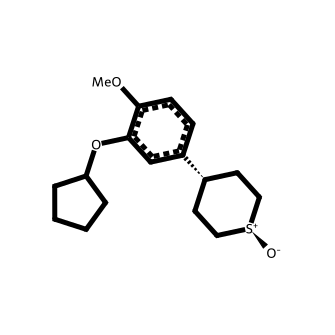 COc1ccc([C@H]2CC[S@+]([O-])CC2)cc1OC1CCCC1